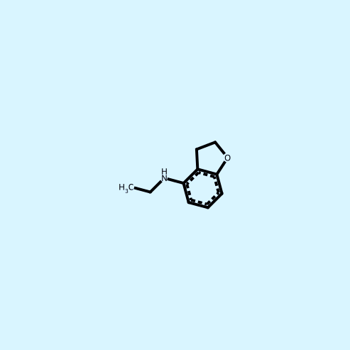 CCNc1cccc2c1CCO2